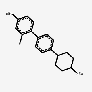 CCCCc1ccc(-c2ccc(C3CCC(CCCC)CC3)cc2)c(F)c1